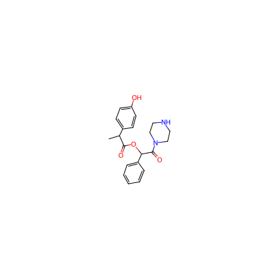 CC(C(=O)OC(C(=O)N1CCNCC1)c1ccccc1)c1ccc(O)cc1